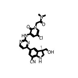 CN(C)C(=O)Cn1cc(Cl)cc(Nc2nccc(-c3cc(C#N)c4c(c3)[C@@](C)(CO)CN4)n2)c1=O